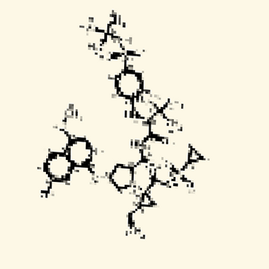 C=C[C@@H]1C[C@@]1(C(=O)NS(=O)(=O)C1CC1)N1C[C@H](Oc2ncc(OC)c3ccc(Cl)cc23)C[C@H]1C(=O)NC(=O)[C@@H](Nc1ccc(S(=O)(=O)NC(C)(C)C)cc1)C(C)(C)C